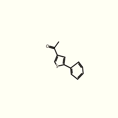 CC(=O)c1csc(-c2ccccc2)c1